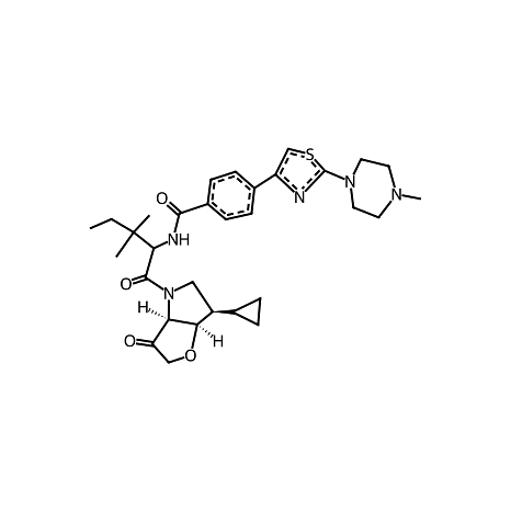 CCC(C)(C)C(NC(=O)c1ccc(-c2csc(N3CCN(C)CC3)n2)cc1)C(=O)N1C[C@@H](C2CC2)[C@H]2OCC(=O)[C@H]21